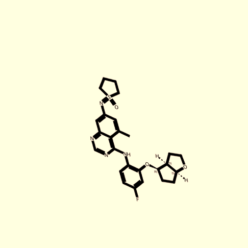 Cc1cc(N=S2(=O)CCCC2)cc2ncnc(Nc3ccc(F)cc3O[C@@H]3CC[C@@H]4OCC[C@@H]43)c12